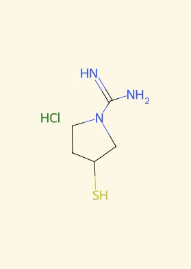 Cl.N=C(N)N1CCC(S)C1